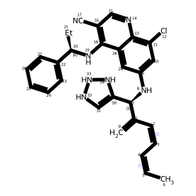 C=C(/C=C\C=C/C)[C@H](Nc1cc(Cl)c2ncc(C#N)c(N[C@H](CC)c3ccccc3)c2c1)C1=CNNN1